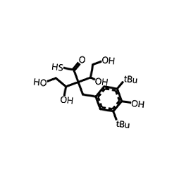 CC(C)(C)c1cc(CC(C(=O)S)(C(O)CO)C(O)CO)cc(C(C)(C)C)c1O